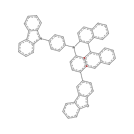 c1ccc2c(-c3c(N(c4ccc(-c5ccc6oc7ccccc7c6c5)cc4)c4ccc(-n5c6ccccc6c6ccccc65)cc4)ccc4ccccc34)cccc2c1